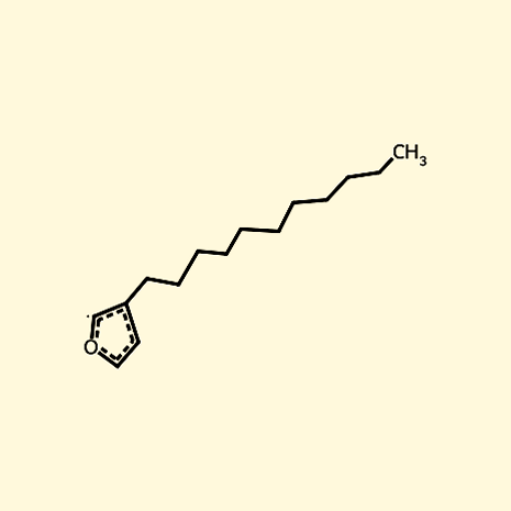 CCCCCCCCCCCc1[c]occ1